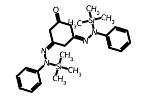 C[Si](C)(C)N(/N=C1\CC(=O)C/C(=N/N(c2ccccc2)[Si](C)(C)C)C1)c1ccccc1